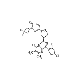 Cc1nc2c(-c3ccc(Cl)cc3F)nc([C@@H]3CCO[C@H](c4ccc(=O)n(C5CC(F)(F)C5)c4)C3)cn2c(=O)c1C